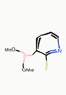 COB(OC)c1cccnc1F